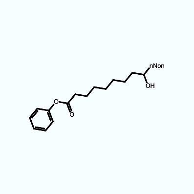 CCCCCCCCCC(O)CCCCCCCC(=O)Oc1ccccc1